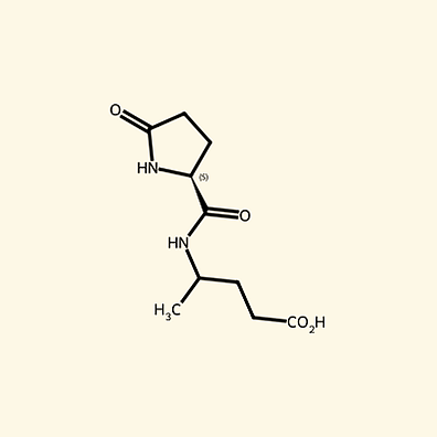 CC(CCC(=O)O)NC(=O)[C@@H]1CCC(=O)N1